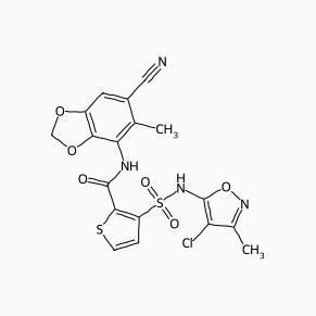 Cc1noc(NS(=O)(=O)c2ccsc2C(=O)Nc2c(C)c(C#N)cc3c2OCO3)c1Cl